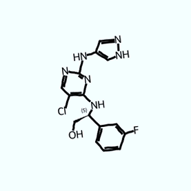 OC[C@@H](Nc1nc(Nc2cn[nH]c2)ncc1Cl)c1cccc(F)c1